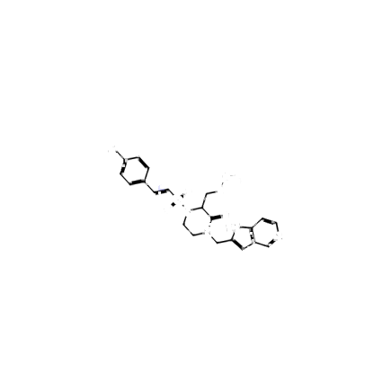 COCC1C(=O)N(Cc2cc3cnccc3[nH]2)CCN1S(=O)(=O)/C=C/c1ccc(Cl)cc1